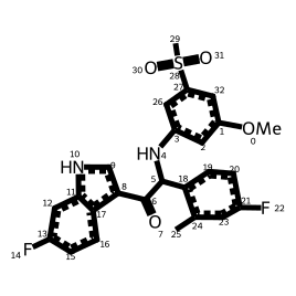 COc1cc(NC(C(=O)c2c[nH]c3cc(F)ccc23)c2ccc(F)cc2C)cc(S(C)(=O)=O)c1